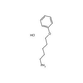 Cl.PCCCCCOc1ccccc1